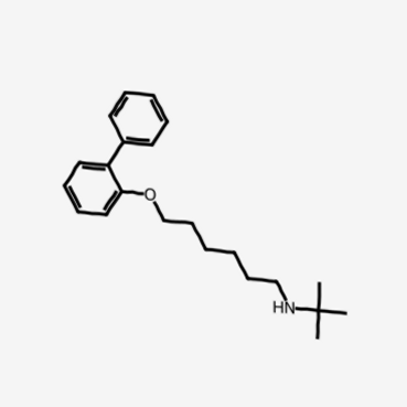 CC(C)(C)NCCCCCCOc1ccccc1-c1ccccc1